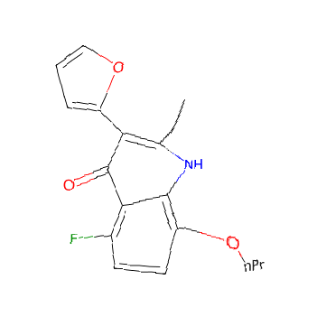 CCCOc1ccc(F)c2c(=O)c(-c3ccco3)c(C)[nH]c12